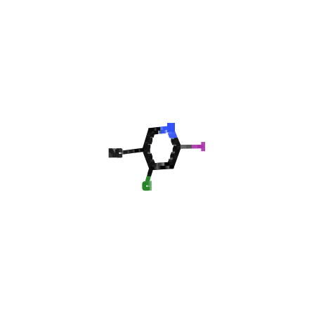 N#Cc1cnc(I)cc1Cl